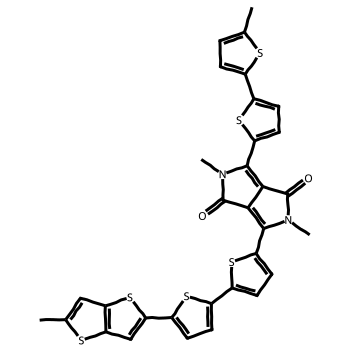 Cc1ccc(-c2ccc(C3=C4C(=O)N(C)C(c5ccc(-c6ccc(-c7cc8sc(C)cc8s7)s6)s5)=C4C(=O)N3C)s2)s1